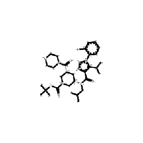 CC(C)CN(C(=O)c1nnn(-c2ccccc2F)c1C(C)C)[C@H]1C[C@@H](C(=O)N2CCOCC2)CN(C(=O)OC(C)(C)C)C1